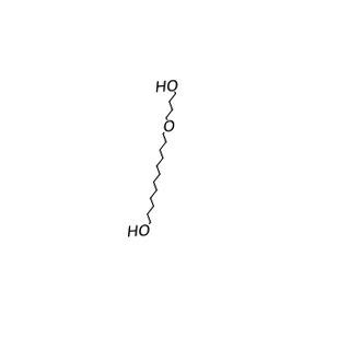 OCCCCCCCCCCCCOCCCCO